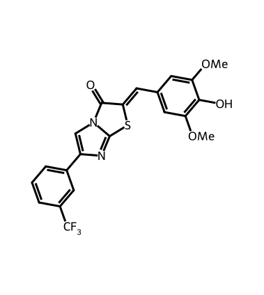 COc1cc(/C=c2\sc3nc(-c4cccc(C(F)(F)F)c4)cn3c2=O)cc(OC)c1O